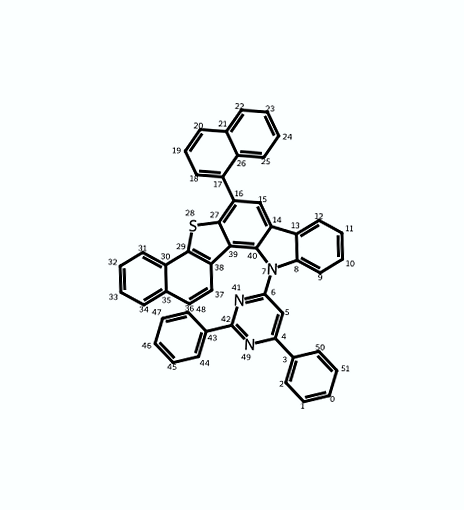 c1ccc(-c2cc(-n3c4ccccc4c4cc(-c5cccc6ccccc56)c5sc6c7ccccc7ccc6c5c43)nc(-c3ccccc3)n2)cc1